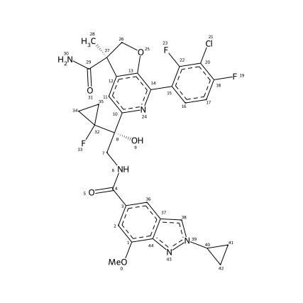 COc1cc(C(=O)NC[C@](O)(c2cc3c(c(-c4ccc(F)c(Cl)c4F)n2)OC[C@]3(C)C(N)=O)C2(F)CC2)cc2cn(C3CC3)nc12